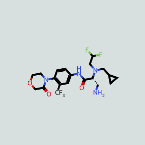 NC[C@H](C(=O)Nc1ccc(N2CCOCC2=O)c(C(F)(F)F)c1)N(CC(F)F)CC1CC1